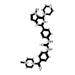 CCn1ccc2nc(-c3ccc(NC(=O)Nc4ccc(C(=O)N5CCN(C)CC5)cc4)cc3)nc(N3CCOCC3)c21